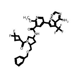 COc1ncc(-c2cc(C(F)(F)F)c3c(N)ncnn23)cc1C(=O)NC1CC(COCc2ccccc2)N(C(=O)C2CC(F)(F)C2)C1